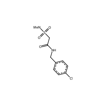 CNS(=O)(=O)CC(=O)NCc1ccc(Cl)cc1